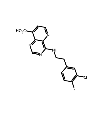 O=C(O)c1ccnc2c(NCCc3ccc(F)c(Cl)c3)ncnc12